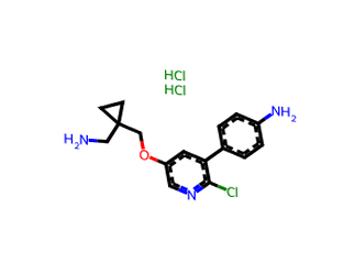 Cl.Cl.NCC1(COc2cnc(Cl)c(-c3ccc(N)cc3)c2)CC1